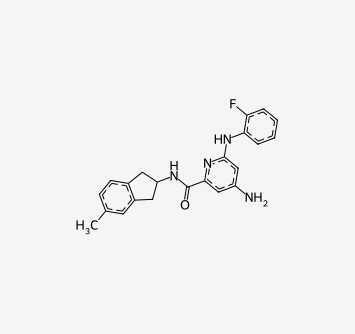 Cc1ccc2c(c1)CC(NC(=O)c1cc(N)cc(Nc3ccccc3F)n1)C2